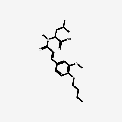 CCCCOc1ccc(/C=C/C(=O)N(C)[C@@H](CC(C)C)C(=O)O)cc1OC